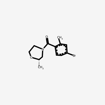 Cc1cc(Br)ccc1C(=O)N1CCO[C@@H](C)C1